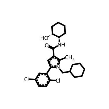 Cc1c(C(=O)N[C@@H]2CCCC[C@H]2O)cc(-c2cc(Cl)ccc2Cl)n1CC1CCCCC1